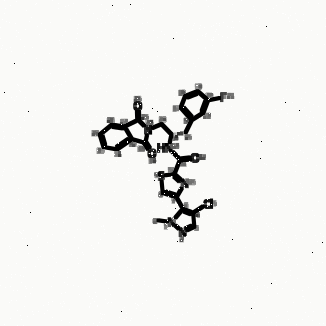 Cn1ncc(Cl)c1-c1csc(C(=O)N[C@@H](Cc2cccc(F)c2)CN2C(=O)c3ccccc3C2=O)n1